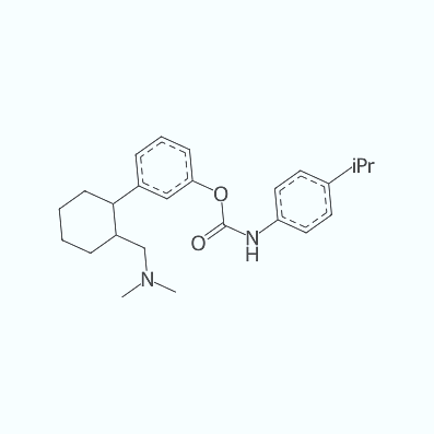 CC(C)c1ccc(NC(=O)Oc2cccc(C3CCCCC3CN(C)C)c2)cc1